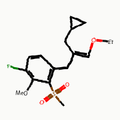 CCOC=C(Cc1ccc(F)c(OC)c1S(C)(=O)=O)CC1CC1